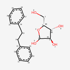 OC[C@H]1OC(O)[C@H](O)[C@H]1O.c1ccc(CCc2ccccc2)cc1